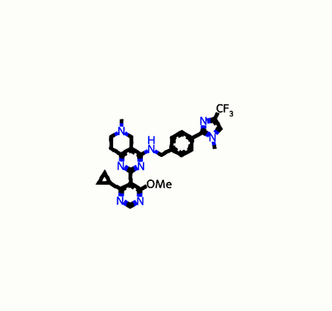 COc1ncnc(C2CC2)c1-c1nc2c(c(NCc3ccc(-c4nc(C(F)(F)F)cn4C)cc3)n1)CN(C)CC2